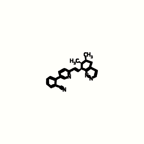 C[C@H]1[C@H](/C=C/c2ccc(-c3ccccc3C#N)cn2)c2nnccc2C[C@@H]1C